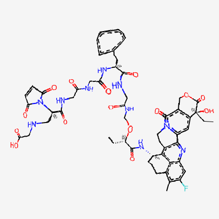 CC[C@H](OCNC(=O)CNC(=O)[C@H](Cc1ccccc1)NC(=O)CNC(=O)CNC(=O)[C@@H](CNCC(=O)O)N1C(=O)C=CC1=O)C(=O)N[C@H]1CCc2c(C)c(F)cc3nc4c(c1c23)Cn1c-4cc2c(c1=O)COC(=O)[C@]2(O)CC